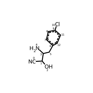 N#CC(O)C(N)Cc1ccc(Cl)cc1